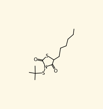 CCCCCCC1SC(=O)N(SC(C)(C)C)C1=O